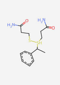 CC(c1ccccc1)[SH](CCC(N)=O)SCCC(N)=O